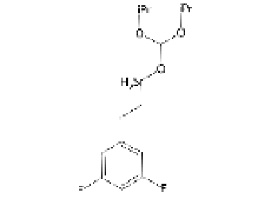 CC(C)OC(O[SiH2]CCc1cc(F)cc(F)c1)OC(C)C